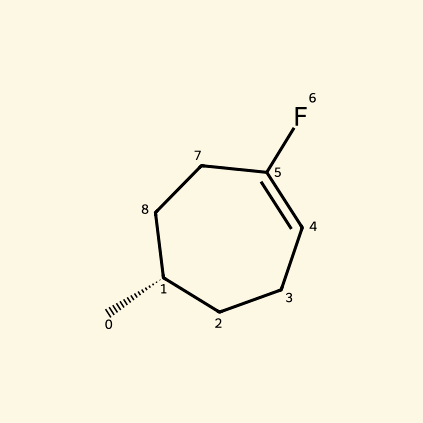 C[C@H]1CCC=C(F)CC1